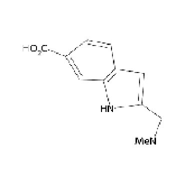 CNCc1cc2ccc(C(=O)O)cc2[nH]1